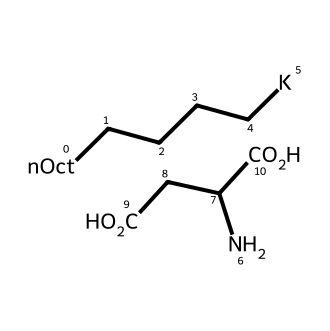 CCCCCCCCCCC[CH2][K].NC(CC(=O)O)C(=O)O